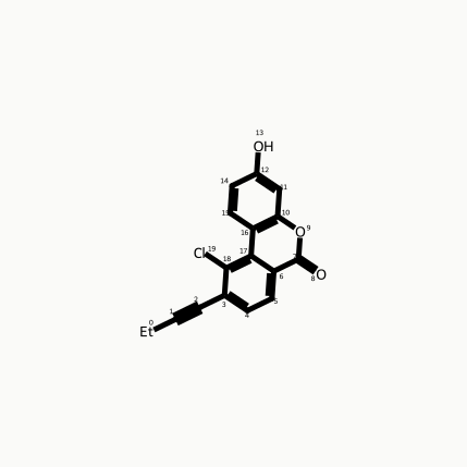 CCC#Cc1ccc2c(=O)oc3cc(O)ccc3c2c1Cl